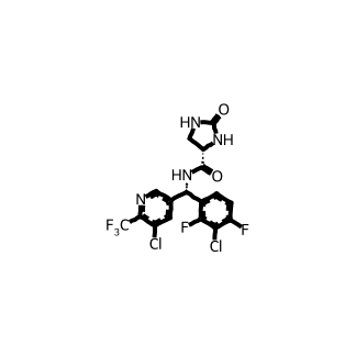 O=C1NC[C@@H](C(=O)N[C@@H](c2cnc(C(F)(F)F)c(Cl)c2)c2ccc(F)c(Cl)c2F)N1